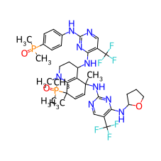 CN1CCC(Nc2nc(Nc3ccc(P(C)(C)=O)cc3)ncc2C(F)(F)F)C2=C1C(C)(P(C)(C)=O)C=CC2(C)Nc1ncc(C(F)(F)F)c(NC2CCCO2)n1